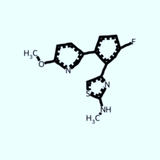 CNc1nc(-c2cc(F)ccc2-c2ccc(OC)nc2)cs1